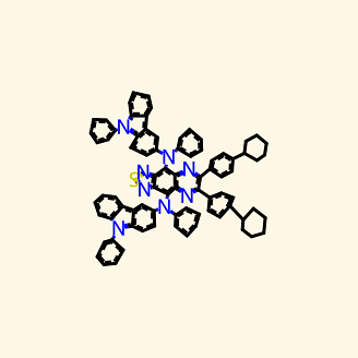 c1ccc(N(c2ccc3c(c2)c2ccccc2n3-c2ccccc2)c2c3nsnc3c(N(c3ccccc3)c3ccc4c(c3)c3ccccc3n4-c3ccccc3)c3nc(-c4ccc(C5CCCCC5)cc4)c(-c4ccc(C5CCCCC5)cc4)nc23)cc1